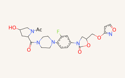 CC(=O)N1CC(O)CC1C(=O)N1CCN(c2ccc(N3CC(COc4ccon4)OC3=O)cc2F)CC1